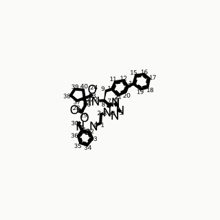 NCCn1nnnc1[C@H](Cc1ccc(-c2ccccc2)cc1)NC(=O)C1(CC(=O)OCc2ccccc2)CCCC1